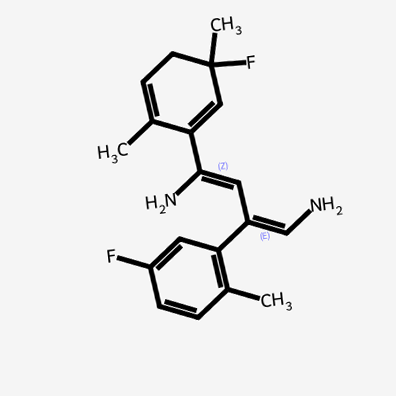 CC1=CCC(C)(F)C=C1/C(N)=C/C(=C\N)c1cc(F)ccc1C